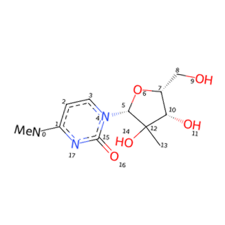 CNc1ccn([C@@H]2O[C@H](CO)[C@H](O)C2(C)O)c(=O)n1